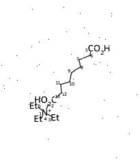 CC[N+](C)(CC)CC.O=C(O)CCCCCCCC(=O)O